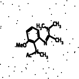 COc1cccc(N=C(C)N(C)C)c1N(C)C(C)=O